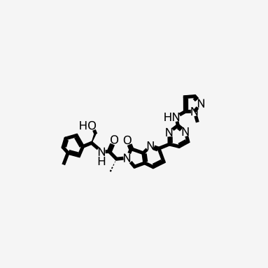 Cc1cccc([C@@H](CO)NC(=O)[C@@H](C)N2Cc3ccc(-c4ccnc(Nc5ccnn5C)n4)nc3C2=O)c1